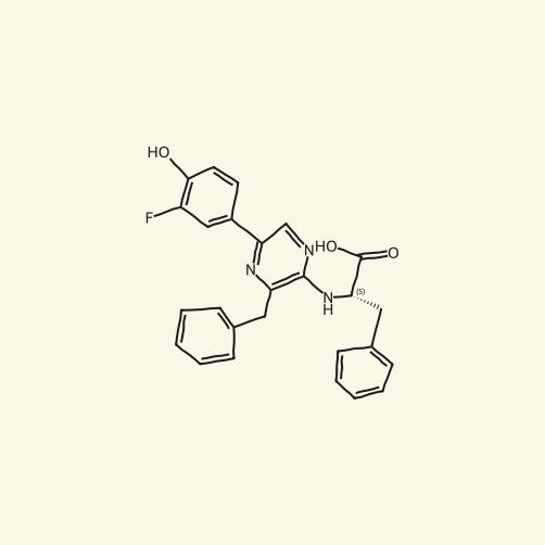 O=C(O)[C@H](Cc1ccccc1)Nc1ncc(-c2ccc(O)c(F)c2)nc1Cc1ccccc1